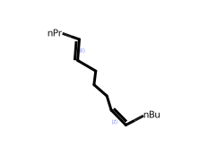 [CH2]CC/C=C/CCC/C=C\CCCC